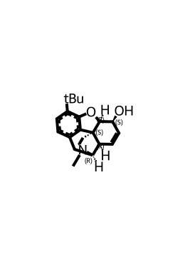 CN1CC[C@]23c4c5ccc(C(C)(C)C)c4O[C@H]2[C@@H](O)C=C[C@H]3[C@H]1C5